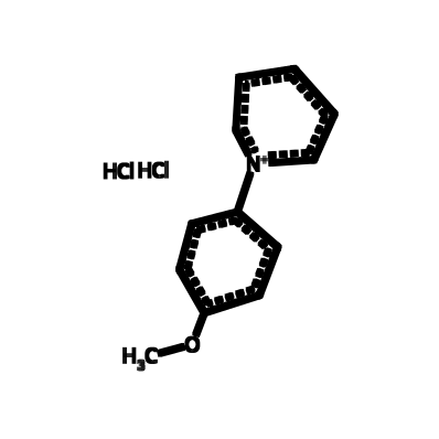 COc1ccc(-[n+]2ccccc2)cc1.Cl.Cl